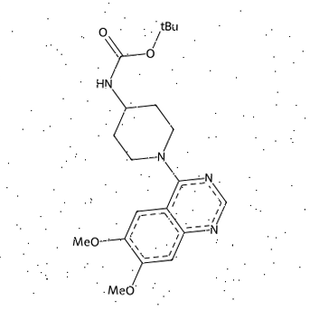 COc1cc2ncnc(N3CCC(NC(=O)OC(C)(C)C)CC3)c2cc1OC